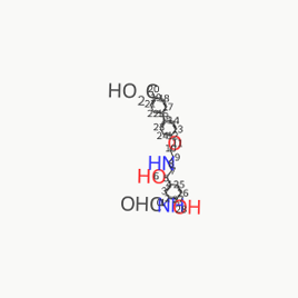 O=CNc1cc(C(O)CNCCOc2ccc(-c3ccc(C(=O)O)cc3)cc2)ccc1O